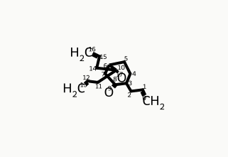 C=CCC12CCC(CC1=O)C(CC=C)(CC=C)O2